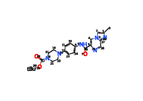 Cc1cn2cc(C(=O)Nc3ccc(N4CCN(C(=O)OC(C)(C)C)CC4)cc3)ncc2n1